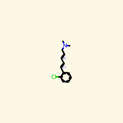 CN(C)C/C=C/C=C/c1ccccc1Cl